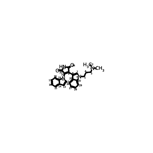 CN(C)CCCn1cc(C2=C(n3ccc4ccccc43)C(=O)NC2=O)c2ccccc21